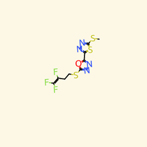 CSc1nnc(-c2nnc(SCCC(F)=C(F)F)o2)s1